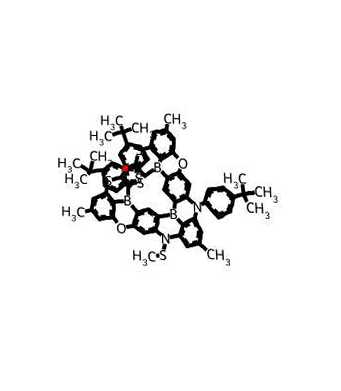 CSN1c2cc3c(cc2B2c4cc5c(cc4N(c4ccc(C(C)(C)C)cc4)c4cc(C)cc1c42)Oc1cc(C)cc2c1B5c1sc4ccc(C(C)(C)C)cc4c1S2)B1c2sc4ccc(C(C)(C)C)cc4c2Sc2cc(C)cc(c21)O3